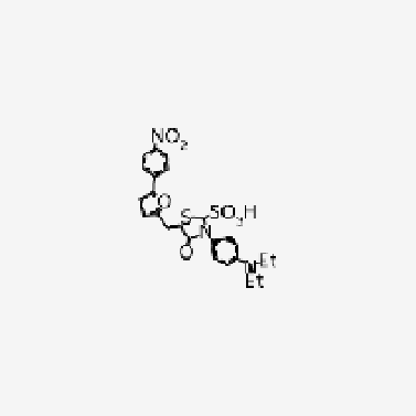 CCN(CC)c1ccc(N2C(=O)C(=Cc3ccc(-c4ccc([N+](=O)[O-])cc4)o3)SC2S(=O)(=O)O)cc1